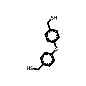 SCc1ccc(Sc2ccc(CS)cc2)cc1